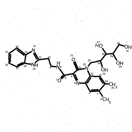 Cc1cc2nc(C(=O)NCCc3nc4ccccc4[nH]3)c(=O)n(CC(O)C(O)C(O)CO)c2cc1C